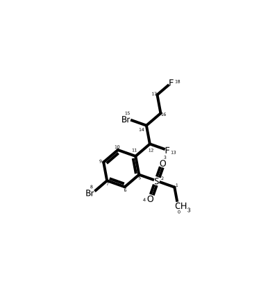 CCS(=O)(=O)c1cc(Br)ccc1C(F)C(Br)CCF